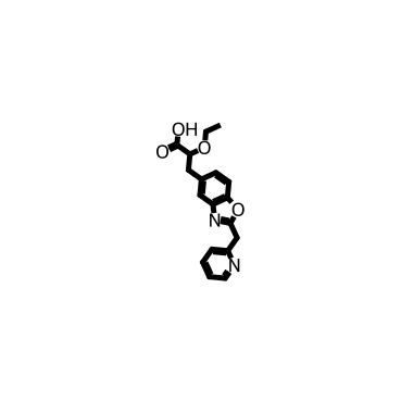 CCOC(Cc1ccc2oc(Cc3ccccn3)nc2c1)C(=O)O